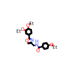 CCOc1ccc(C(=O)NCc2coc(-c3ccc(OCC)c(OCC)c3)n2)cc1